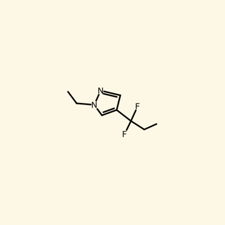 CCn1cc(C(F)(F)CC)cn1